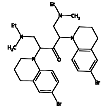 CCN(C)CC(C(=O)C(CN(C)CC)N1CCCc2cc(Br)ccc21)N1CCCc2cc(Br)ccc21